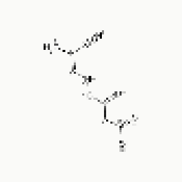 CC(C#N)=CNOC(=O)CC(=O)O